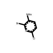 CNc1ccc(Cl)nc1Br